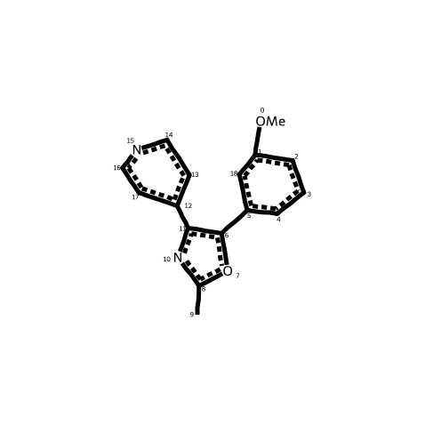 COc1cccc(-c2oc(C)nc2-c2ccncc2)c1